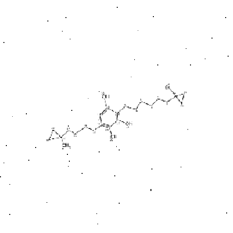 CCC1(CCCCCCc2c(O)cc(CCCCC3(C)CC3)c(O)c2O)CC1